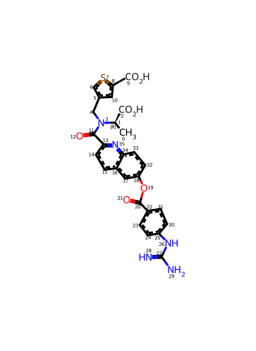 C[C@H](C(=O)O)N(Cc1csc(C(=O)O)c1)C(=O)c1ccc2cc(OC(=O)c3ccc(NC(=N)N)cc3)ccc2n1